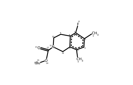 Cc1cc(C)c2c(c1F)CCN(C(=O)OC(C)(C)C)C2